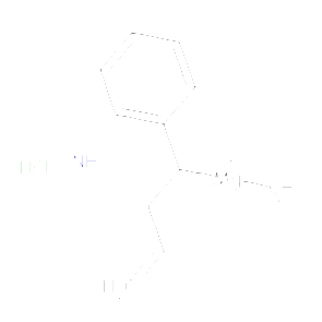 C=CC[CH]([Mg][CH3])c1ccccc1.Cl.N